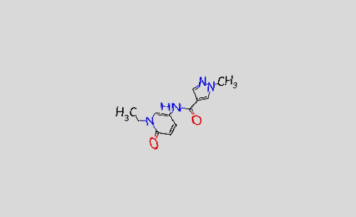 CCn1cc(NC(=O)c2cnn(C)c2)ccc1=O